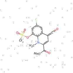 COC(=O)C1=CC(=C=O)c2cc(F)cc(OS(=O)(=O)C(F)(F)F)c2N1C